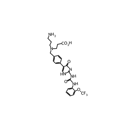 NCCCN(CCC(=O)O)Cc1ccc(-c2c[nH]c(NC(=O)Nc3ccccc3OC(F)(F)F)nc2=O)cc1